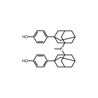 CP(C12CC3CC(CC(c4ccc(O)cc4)(C3)C1)C2)C12CC3CC(CC(c4ccc(O)cc4)(C3)C1)C2